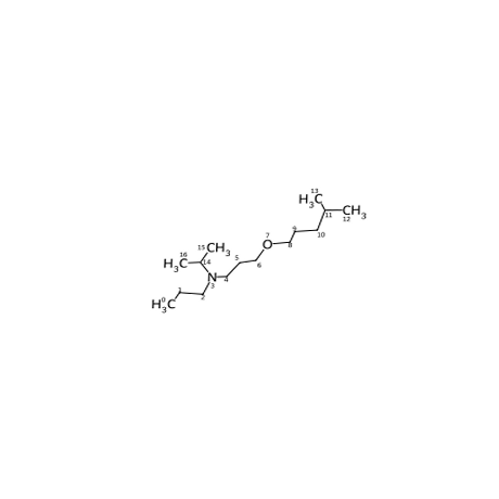 CCCN(CCCOCCCC(C)C)C(C)C